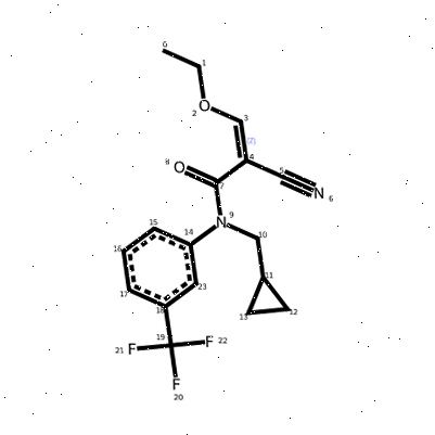 CCO/C=C(/C#N)C(=O)N(CC1CC1)c1cccc(C(F)(F)F)c1